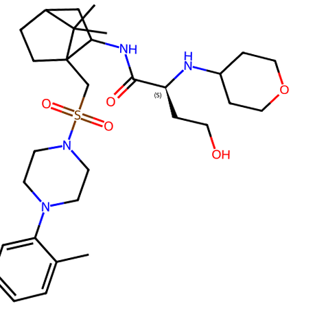 Cc1ccccc1N1CCN(S(=O)(=O)CC23CCC(CC2NC(=O)[C@H](CCO)NC2CCOCC2)C3(C)C)CC1